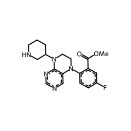 COC(=O)c1cc(F)ccc1N1CCN(C2CCCNC2)c2ncncc21